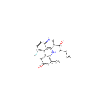 CCCC(=O)c1cnc2ccc(F)cc2c1Nc1ccc(O)cc1C